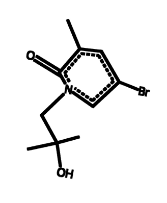 Cc1cc(Br)cn(CC(C)(C)O)c1=O